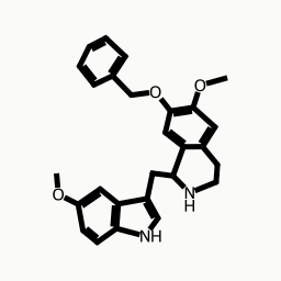 COc1ccc2[nH]cc(CC3NCCc4cc(OC)c(OCc5ccccc5)cc43)c2c1